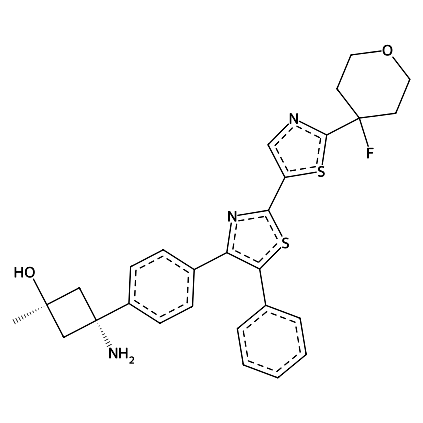 C[C@]1(O)C[C@@](N)(c2ccc(-c3nc(-c4cnc(C5(F)CCOCC5)s4)sc3-c3ccccc3)cc2)C1